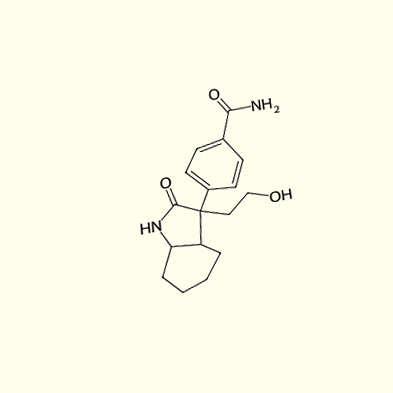 NC(=O)c1ccc(C2(CCO)C(=O)NC3CCCCC32)cc1